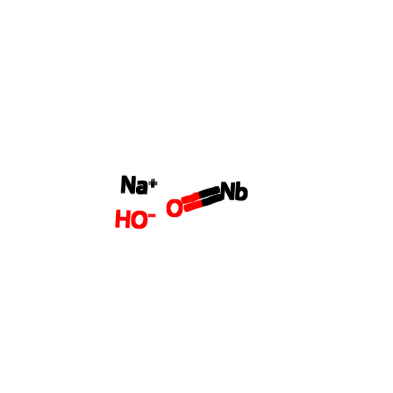 [Na+].[OH-].[O]=[Nb]